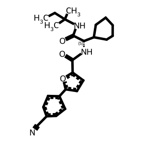 CCC(C)(C)NC(=O)[C@@H](NC(=O)c1ccc(-c2ccc(C#N)cc2)o1)C1CCCCC1